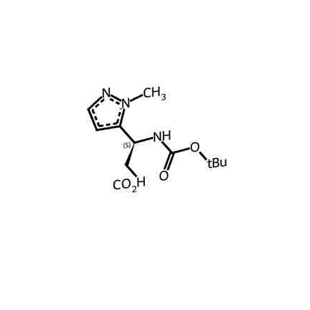 Cn1nccc1[C@H](CC(=O)O)NC(=O)OC(C)(C)C